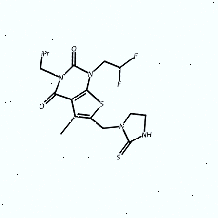 Cc1c(CN2CCNC2=S)sc2c1c(=O)n(CC(C)C)c(=O)n2CC(F)F